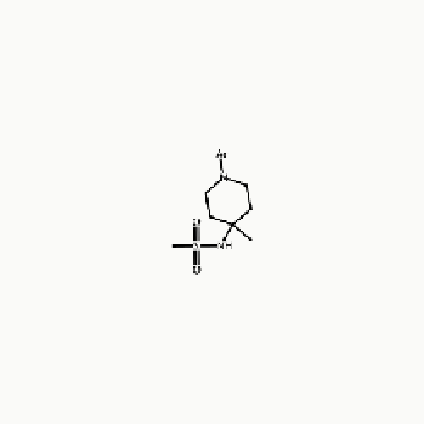 CC(=O)N1CCC(C)(NS(C)(=O)=O)CC1